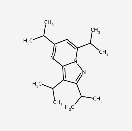 CC(C)c1cc(C(C)C)n2nc(C(C)C)c(C(C)C)c2n1